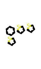 c1ccccc1.c1ccsc1.c1ccsc1.c1ccsc1